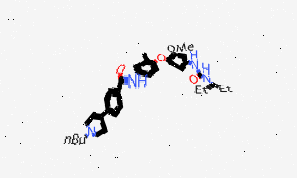 CCCCN1CC=C(c2ccc(C(=O)Nc3ccc(Oc4ccc(NC(=O)NC(CC)CC)cc4OC)c(C)c3)cc2)CC1